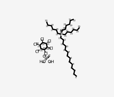 CCCCCCCCCCCCCC[PH](CCCCCC)(CCCCCC)CCCCCC.Cl[C@H]1[C@H](Cl)[C@@H](Cl)[C@@H](Cl)[C@H](Cl)[C@H]1Cl.O=P(O)(O)F